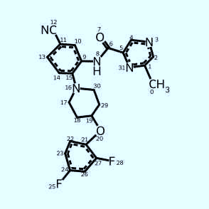 Cc1cncc(C(=O)Nc2cc(C#N)ccc2N2CCC(Oc3ccc(F)cc3F)CC2)n1